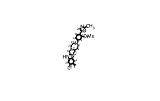 COc1cc(N2CCC(=O)N(Cc3nc4cc(F)c(Cl)cc4[nH]3)CC2)ccc1-c1cnc(C)o1